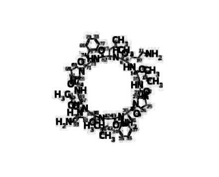 CC(C)CC1NC(=O)[C@H](CCCN)NC(=O)[C@H](C(C)C)NC(=O)[C@@H]2CCCN2C(=O)[C@@H](Cc2ccccc2)N(N)C(=O)[C@H](CC(C)C)NC(=O)[C@H](CCCN)N(N)C(=O)[C@H](C(C)C)NC(=O)[C@@H]2CCCN2C(=O)[C@@H](Cc2ccccc2)NC1=O